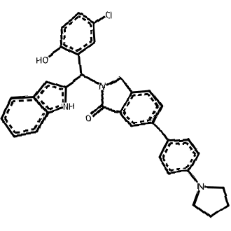 O=C1c2cc(-c3ccc(N4CCCC4)cc3)ccc2CN1C(c1cc2ccccc2[nH]1)c1cc(Cl)ccc1O